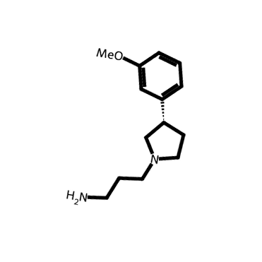 COc1cccc([C@@H]2CCN(CCCN)C2)c1